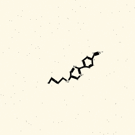 CC=CCOc1cnc(-c2ccc(C#N)cc2)nc1